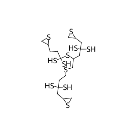 SC(S)(CCSCC(CC(S)(S)CC1CS1)SC(S)(S)CCC1CS1)CC1CS1